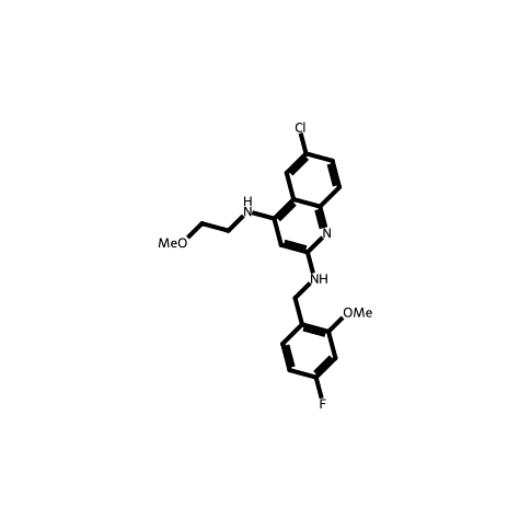 COCCNc1cc(NCc2ccc(F)cc2OC)nc2ccc(Cl)cc12